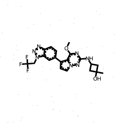 COc1nc(NC2CC(C)(O)C2)nn2ccc(-c3ccc4nnn(CC(F)(F)F)c4c3)c12